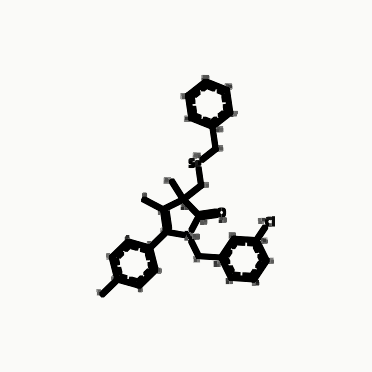 CC1=C(c2ccc(C)cc2)N(Cc2cccc(Cl)c2)C(=O)C1(C)C[Se]Cc1ccccc1